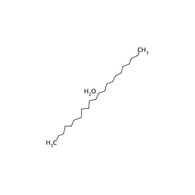 CCCCCCCCCCCCCCCCCCCCCC.O